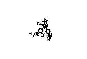 COc1ccc(-c2c(C#N)c(C(F)(F)F)nn2-c2ccc(N=[N+]=[N-])cc2)cc1OC